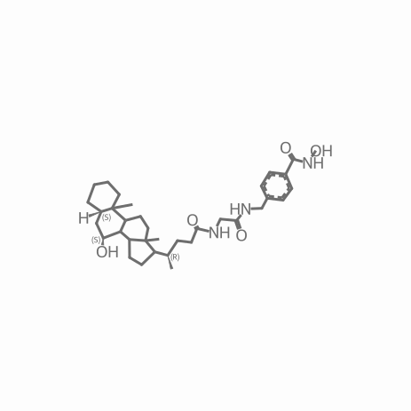 C[C@H](CCC(=O)NCC(=O)NCc1ccc(C(=O)NO)cc1)C1CCC2C3C(CCC21C)C1(C)CCCC[C@H]1C[C@@H]3O